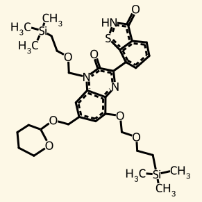 C[Si](C)(C)CCOCOc1cc(COC2CCCCO2)cc2c1nc(-c1cccc3c(=O)[nH]sc13)c(=O)n2COCC[Si](C)(C)C